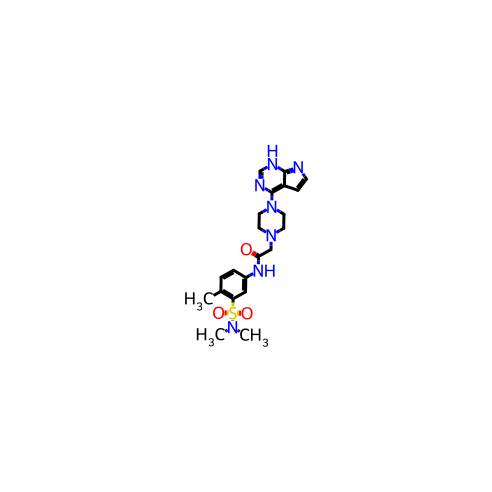 Cc1ccc(NC(=O)CN2CCN(c3nc[nH]c4nccc3-4)CC2)cc1S(=O)(=O)N(C)C